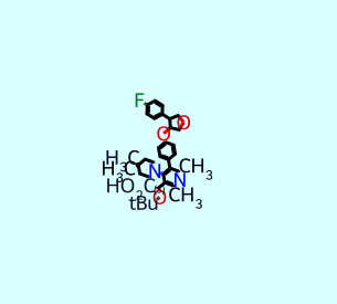 Cc1nc(C)c([C@H](OC(C)(C)C)C(=O)O)c(N2CCC(C)(C)CC2)c1-c1ccc(OC2COCC2c2ccc(F)cc2)cc1